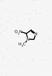 CN1CN=[C]C1[N+](=O)[O-]